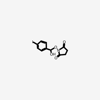 O=C1CCC(=O)N1OC(O)c1ccc(I)cc1